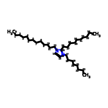 CCCCCCCCCCCCC[n+]1ccn(CCCCCCCC)c1CCCCCCCCCC